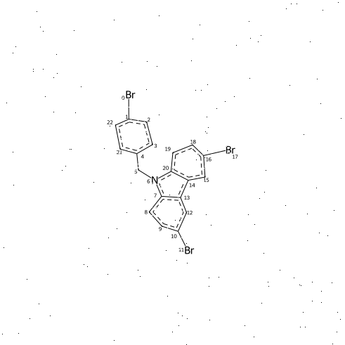 Brc1ccc(Cn2c3ccc(Br)cc3c3cc(Br)ccc32)cc1